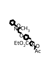 CCOC(=O)[C@H]1CN(C(=O)CC(C)=O)C[C@H]1Cc1ccc(OCCc2nc(-c3ccccc3)oc2C)cc1